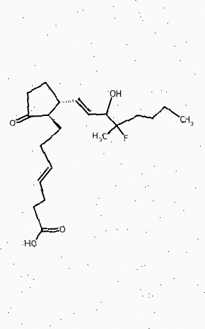 CCCCC(C)(F)C(O)C=C[C@H]1CCC(=O)[C@@H]1CC/C=C/CCC(=O)O